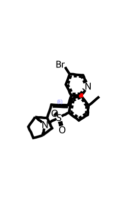 Cc1ccc(S(=O)(=O)N2C3CCC2C(/C=C/c2cncc(Br)c2)C3)cc1